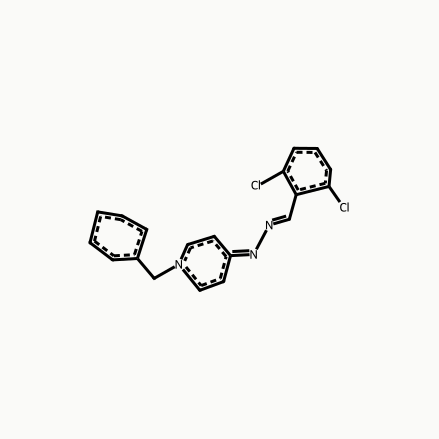 Clc1cccc(Cl)c1C=NN=c1ccn(Cc2ccccc2)cc1